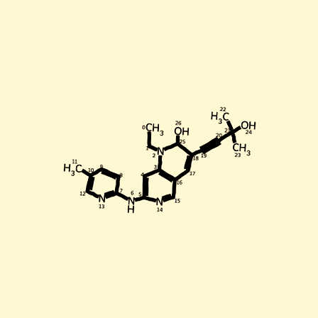 CCN1c2cc(Nc3ccc(C)cn3)ncc2C=C(C#CC(C)(C)O)C1O